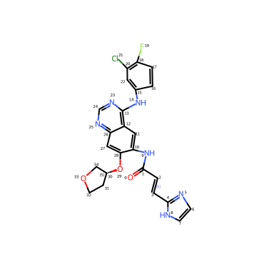 O=C(/C=C/c1ncc[nH]1)Nc1cc2c(Nc3ccc(F)c(Cl)c3)ncnc2cc1O[C@H]1CCOC1